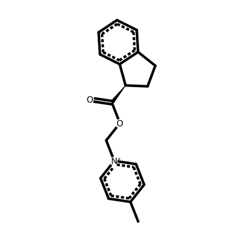 Cc1cc[n+](COC(=O)[C@@H]2CCc3ccccc32)cc1